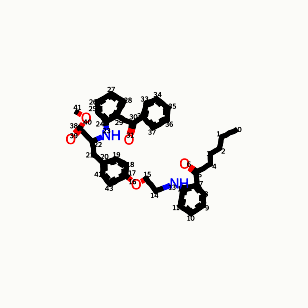 CCCCCC(=O)c1ccccc1NCCOc1ccc(CC(Nc2ccccc2C(=O)c2ccccc2)C(=O)OC)cc1